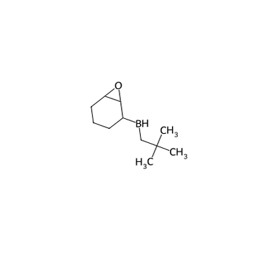 CC(C)(C)CBC1CCCC2OC12